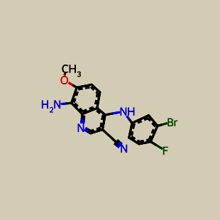 COc1ccc2c(Nc3ccc(F)c(Br)c3)c(C#N)cnc2c1N